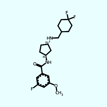 COc1cc(F)cc(C(=O)N[C@H]2CC[C@H](NCC3CCC(F)(F)CC3)C2)c1